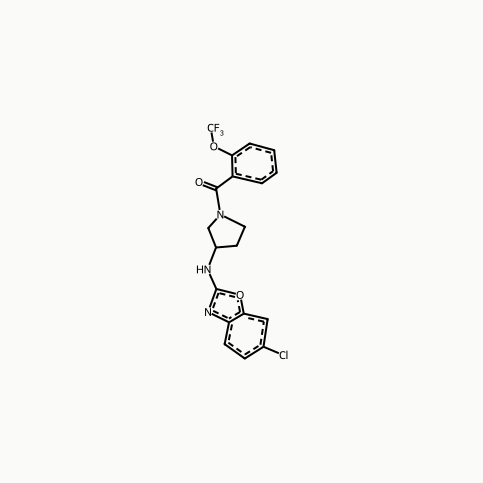 O=C(c1ccccc1OC(F)(F)F)N1CCC(Nc2nc3ccc(Cl)cc3o2)C1